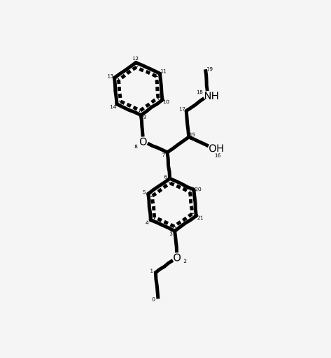 CCOc1ccc(C(Oc2ccccc2)C(O)CNC)cc1